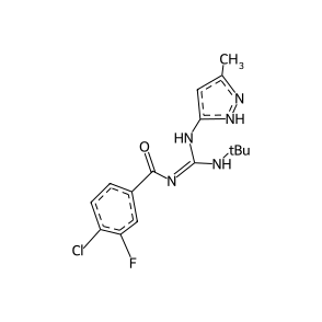 Cc1cc(N/C(=N\C(=O)c2ccc(Cl)c(F)c2)NC(C)(C)C)[nH]n1